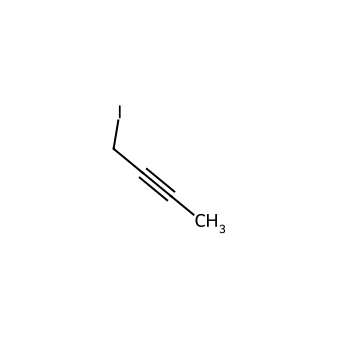 CC#CCI